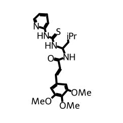 COc1cc(C=CC(=O)NC(CC(C)C)NC(=S)Nc2ccccn2)cc(OC)c1OC